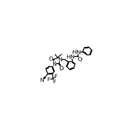 CC1(C)C(=O)N(c2ccc(C#N)c(C(F)(F)F)c2)C(=O)N1Cc1ccccc1NC(=O)Nc1ccccc1